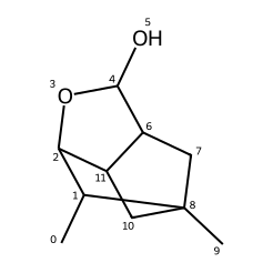 CC1C2OC(O)C3CC1(C)CC32